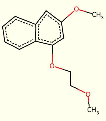 COCCOc1cc(OC)cc2ccccc12